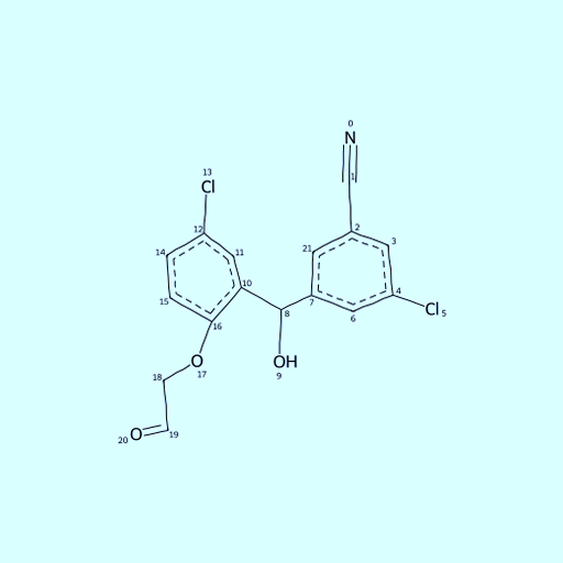 N#Cc1cc(Cl)cc(C(O)c2cc(Cl)ccc2OCC=O)c1